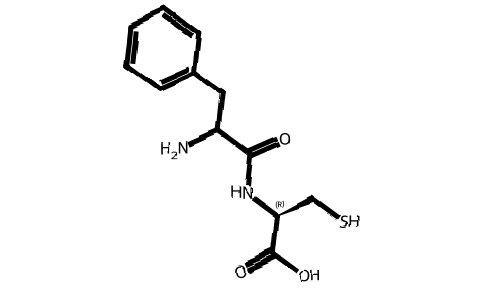 NC(Cc1ccccc1)C(=O)N[C@@H](CS)C(=O)O